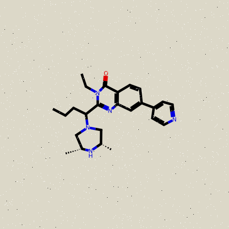 CCCC(c1nc2cc(-c3ccncc3)ccc2c(=O)n1CC)N1C[C@@H](C)N[C@@H](C)C1